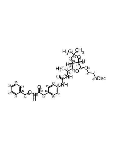 CCCCCCCCCCCCO[C@H]1O[C@H]([C@H](C)NC(=O)Nc2ccc(CC(=O)NOCc3ccccc3)cc2)[C@@H]2OC(C)(C)O[C@H]12